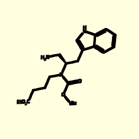 CCOC(=O)CCCN(C(=O)OC(C)(C)C)[C@@H](CN)Cc1c[nH]c2ccccc12